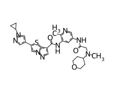 Cc1ncc(NC(=O)CN(C)C2CCOCC2)cc1NC(=O)c1cnn2cc(-c3cnn(C4CC4)c3)sc12